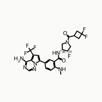 CNc1ccc(-c2cc(C(F)(F)F)c3c(N)ncnn23)cc1C(=O)N[C@@H]1CN(C(=O)C2CC(F)(F)C2)C[C@@H]1F